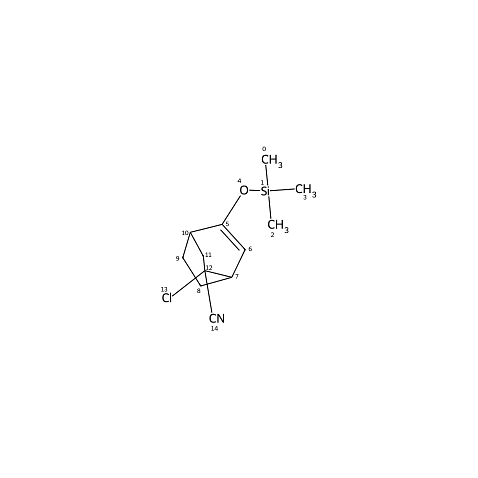 C[Si](C)(C)OC1=CC2CCC1CC2(Cl)C#N